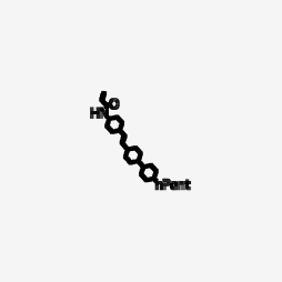 C=CC(=O)NC1CCC(/C=C/C2CCC(C3CCC(CCCCC)CC3)CC2)CC1